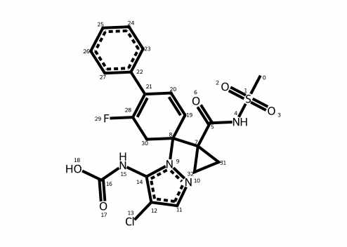 CS(=O)(=O)NC(=O)C1(C2(n3ncc(Cl)c3NC(=O)O)C=CC(c3ccccc3)=C(F)C2)CC1